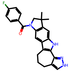 CC1(C)CN(C(=O)c2ccc(F)cc2)c2cc3c4c([nH]c3cc21)-c1n[nH]cc1CCC4